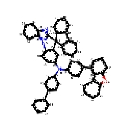 c1ccc(-c2ccc(N(c3ccc(-c4cccc5oc6ccccc6c45)cc3)c3ccc4c(c3)C3(c5ccccc5-c5ccccc53)c3nc5ccccc5n3-4)cc2)cc1